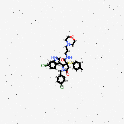 Cc1ccc(SC2(C(=O)NCCCN3CCOCC3)CC(=O)N(Cc3ccc(Cl)cc3)C2c2c[nH]c3cc(Cl)ccc23)cc1